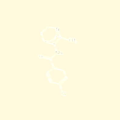 CC1C(NC(=O)c2ccc(Cl)cc2)C2CCN1CC2